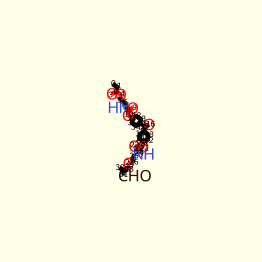 C=CC(=O)OCCNC(=O)Oc1ccc(C(=O)c2ccc(OC(=O)NCCOCC(=C)C=O)cc2)cc1